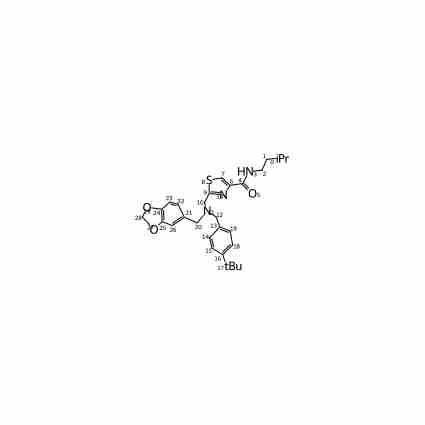 CC(C)CCNC(=O)c1csc(CN(Cc2ccc(C(C)(C)C)cc2)Cc2ccc3c(c2)OCO3)n1